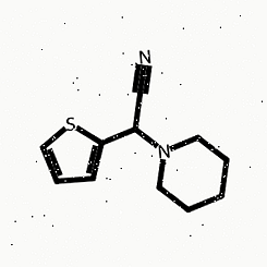 N#CC(c1cccs1)N1CCCCC1